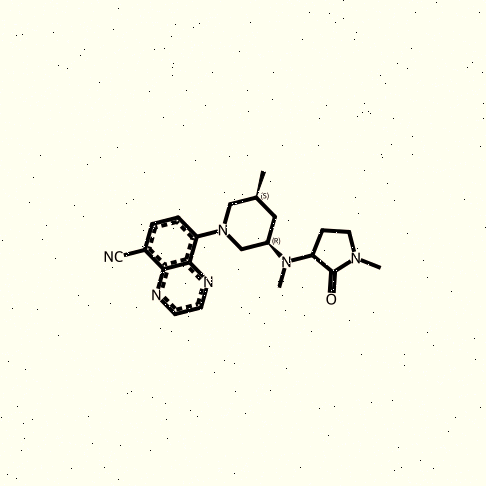 C[C@H]1C[C@@H](N(C)C2CCN(C)C2=O)CN(c2ccc(C#N)c3nccnc23)C1